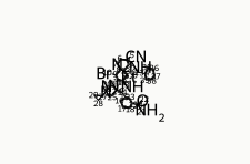 CC[C@@H](Nc1c(C#N)cnc2c(Br)cc(N[C@@H](c3cccc(C(N)=O)c3)c3cn(C4CC4)nn3)cc12)c1ccccc1